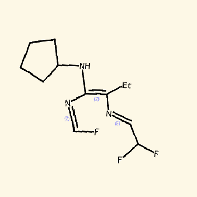 CCC(/N=C/C(F)F)=C(/N=C\F)NC1CCCC1